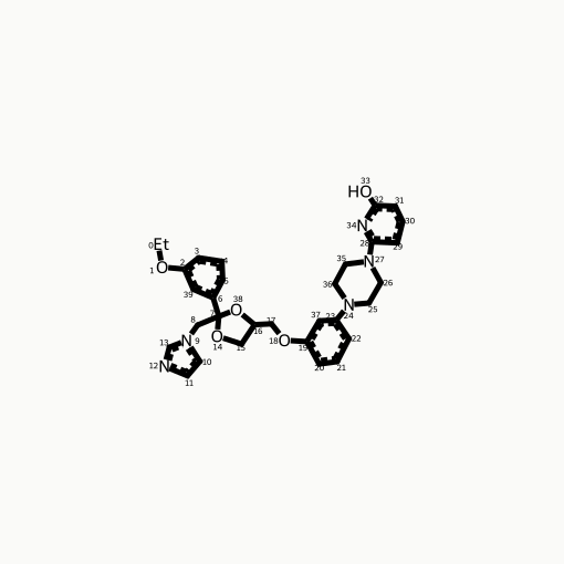 CCOc1cccc(C2(Cn3ccnc3)OCC(COc3cccc(N4CCN(c5cccc(O)n5)CC4)c3)O2)c1